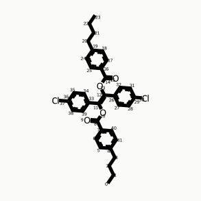 CCCCc1ccc(C(=O)O/C(=C(/OC(=O)c2ccc(CCCC)cc2)c2ccc(Cl)cc2)c2ccc(Cl)cc2)cc1